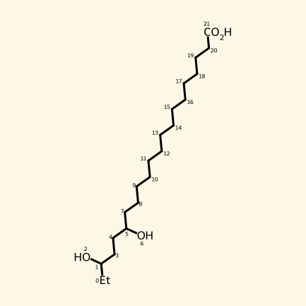 CCC(O)CCC(O)CCCCCCCCCCCCCCC(=O)O